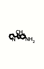 Cn1c(-c2ccccn2)cc2cc(N)ccc21